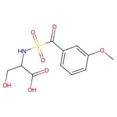 COc1cccc(C(=O)S(=O)(=O)NC(CO)C(=O)O)c1